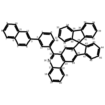 c1cc(-c2ccc3ccccc3c2)cc(-c2nc3ccccc3c3cc4c(cc23)C2(c3ccccc3-c3ccccc32)c2ccccc2-4)c1